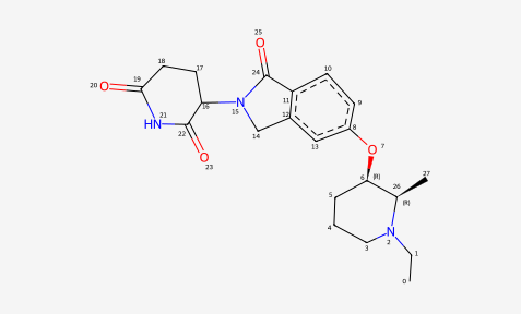 CCN1CCC[C@@H](Oc2ccc3c(c2)CN(C2CCC(=O)NC2=O)C3=O)[C@H]1C